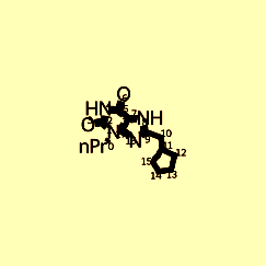 CCCn1c(=O)[nH]c(=O)c2[nH]c(CC3CCCC3)nc21